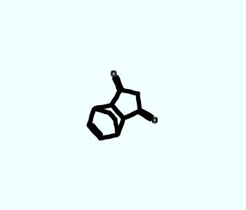 O=C1CC(=O)C2C3C=CC(CC3)C12